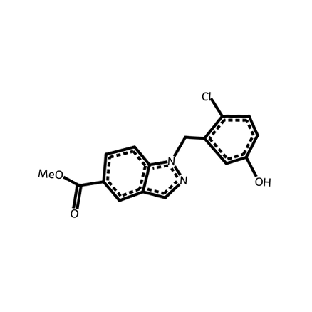 COC(=O)c1ccc2c(cnn2Cc2cc(O)ccc2Cl)c1